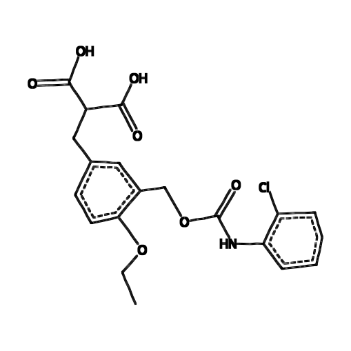 CCOc1ccc(CC(C(=O)O)C(=O)O)cc1COC(=O)Nc1ccccc1Cl